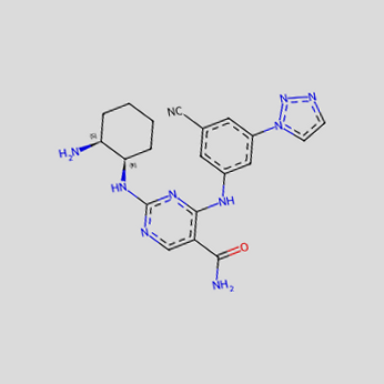 N#Cc1cc(Nc2nc(N[C@@H]3CCCC[C@@H]3N)ncc2C(N)=O)cc(-n2ccnn2)c1